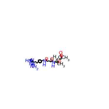 CC(C)(CCOC(C)(C)CCNC(=O)CCCC(=O)NCc1ccc(CCc2nc(N)nc3[nH]cnc23)cc1)OC=O